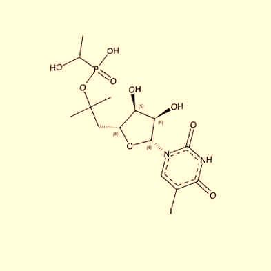 CC(O)P(=O)(O)OC(C)(C)C[C@H]1O[C@@H](n2cc(I)c(=O)[nH]c2=O)[C@H](O)[C@@H]1O